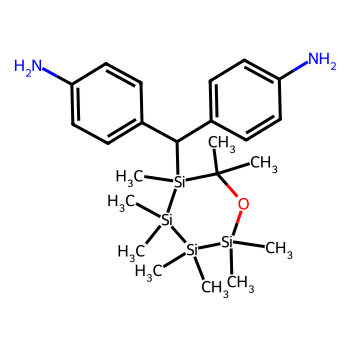 CC1(C)O[Si](C)(C)[Si](C)(C)[Si](C)(C)[Si]1(C)C(c1ccc(N)cc1)c1ccc(N)cc1